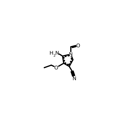 CCOc1c(C#N)cn(C=O)c1N